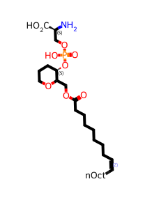 CCCCCCCC/C=C\CCCCCCCC(=O)OCC1OCCC[C@@H]1OP(=O)(O)OC[C@H](N)C(=O)O